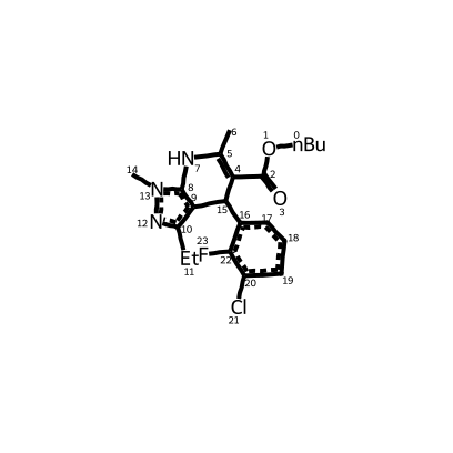 CCCCOC(=O)C1=C(C)Nc2c(c(CC)nn2C)C1c1cccc(Cl)c1F